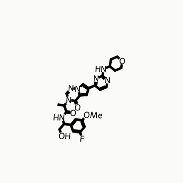 COc1cc(F)cc(C(CO)NC(=O)C(C)n2cnn3cc(-c4ccnc(NC5CCOCC5)n4)cc3c2=O)c1